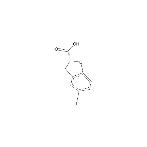 O=C(O)[C@H]1Cc2cc(I)ccc2O1